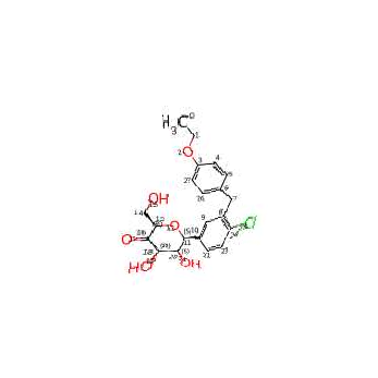 CCOc1ccc(Cc2cc([C@@H]3O[C@H](CO)C(=O)[C@H](O)[C@@H]3O)ccc2Cl)cc1